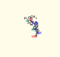 CC(C)Oc1cc(F)cc2ccc(-c3nnc4ccc([C@@H](N5CC[C@H](NCCO)C5)C(F)(F)F)cn34)nc12